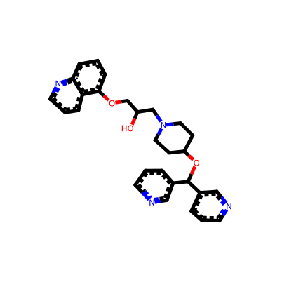 OC(COc1cccc2ncccc12)CN1CCC(OC(c2cccnc2)c2cccnc2)CC1